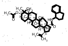 C=C(C)[C@@H]1CC[C@]2(C(=O)NC3CCCc4ccccc43)CC[C@]3(C)[C@H](CC[C@@H]4[C@@]5(C)CC[C@H](OC(C)=O)C(C)(C)[C@@H]5CC[C@]43C)[C@@H]12